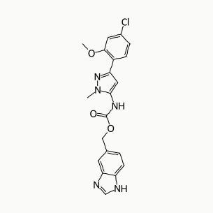 COc1cc(Cl)ccc1-c1cc(NC(=O)OCc2ccc3[nH]cnc3c2)n(C)n1